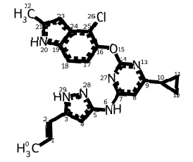 C/C=C/c1cc(Nc2cc(C3CC3)nc(Oc3ccc4[nH]c(C)cc4c3Cl)n2)n[nH]1